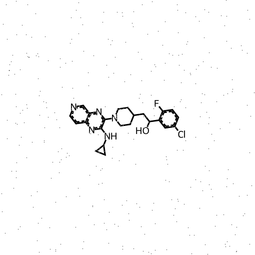 OC(CC1CCN(c2nc3cnccc3nc2NC2CC2)CC1)c1cc(Cl)ccc1F